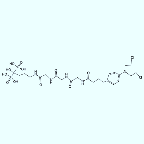 O=C(CCCc1ccc(N(CCCl)CCCl)cc1)NCC(=O)NCC(=O)NCC(=O)NCCCC(O)(P(=O)(O)O)P(=O)(O)O